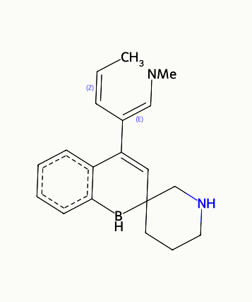 C/C=C\C(=C/NC)C1=CC2(Bc3ccccc31)CCCNC2